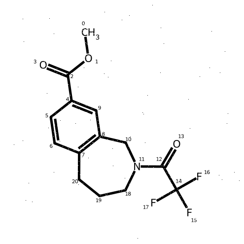 COC(=O)c1ccc2c(c1)CN(C(=O)C(F)(F)F)CCC2